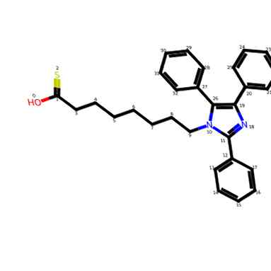 OC(=S)CCCCCCCn1c(-c2ccccc2)nc(-c2ccccc2)c1-c1ccccc1